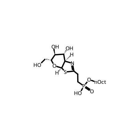 CCCCCCCCOP(=O)(O)CCC1=N[C@@H]2[C@@H](O)[C@H](O)[C@@H](CO)O[C@@H]2S1